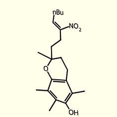 CCCCC=C(CCC1(C)CCc2c(C)c(O)c(C)c(C)c2O1)[N+](=O)[O-]